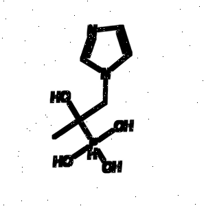 CC(O)(Cn1ccnc1)[PH](O)(O)O